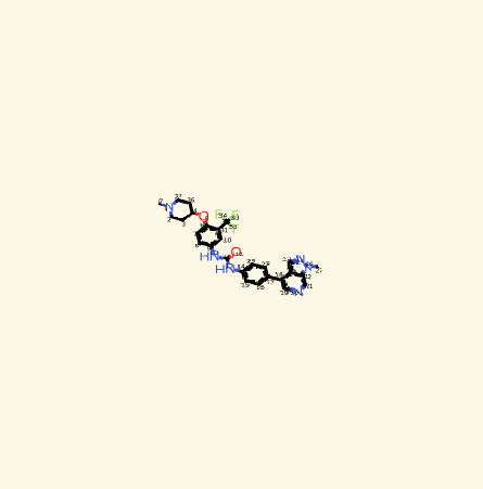 CN1CCC(Oc2ccc(NC(=O)Nc3ccc(-c4cncc5c4cnn5C)cc3)cc2C(F)(F)F)CC1